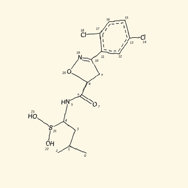 CC(C)CC(NC(=O)C1CC(c2cc(Cl)ccc2Cl)=NO1)B(O)O